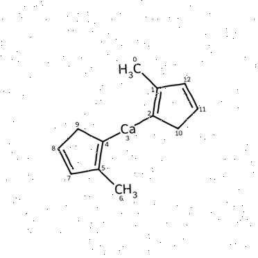 CC1=[C]([Ca][C]2=C(C)C=CC2)CC=C1